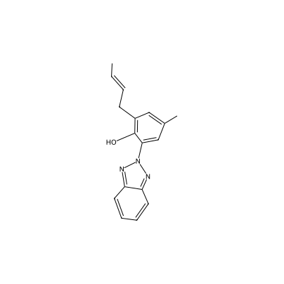 CC=CCc1cc(C)cc(-n2nc3ccccc3n2)c1O